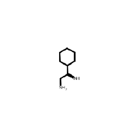 N=C(CN)C1CCCCC1